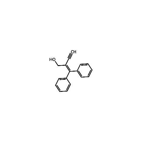 C#CC(CO)=C(c1ccccc1)c1ccccc1